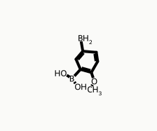 Bc1ccc(OC)c(B(O)O)c1